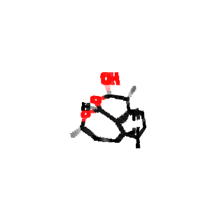 C[C@@H]1[C@@H]2CC[C@@H](C)[C@@H]3CC[C@H](C)O[C@@H](O[C@@H]1O)C23